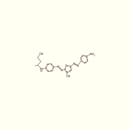 CC(CCC#N)[AsH]c1ccc(N=Nc2sc(N=Nc3ccc([N+](=O)[O-])cc3)cc2C#N)cc1